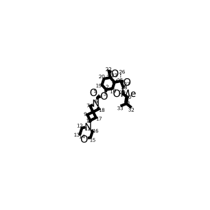 COC1C(OC(=O)N2CC3(CC(N4CCOCC4)C3)C2)CCC2(CO2)C1[C@@]1(C)O[C@@H]1CC=C(C)C